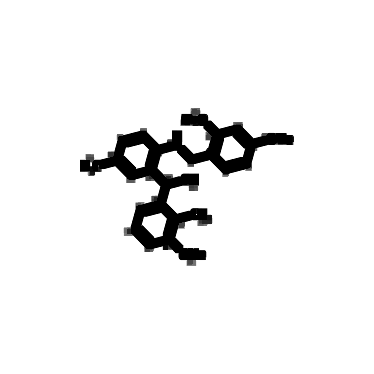 COc1ccc(CNc2ccc(C)cc2C(O)c2cccc(OC)c2C)c(OC)c1